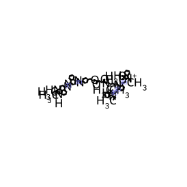 CCN1/C(=C/C=C2\CCCC(/C=C/C3=[N+](CC)c4ccccc4C3(C)C)=C2NCCCCNC(=O)CCC(=O)OCCc2ccc(/N=N/c3ccc(/N=N/c4ccc5c6c(cccc46)NC(C)(C)N5)c4ccccc34)cc2)C(C)(C)c2ccccc21